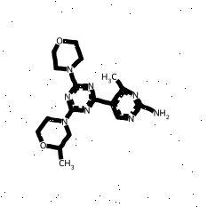 Cc1nc(N)ncc1-c1nc(N2CCOCC2)nc(N2CCOC(C)C2)n1